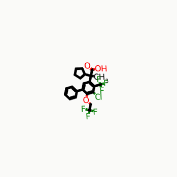 CC(C(=O)O)(c1cc(-c2ccccc2)c(OCC(F)(F)F)c(Cl)c1C(F)(F)F)C1CCCC1